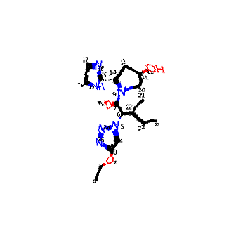 CCOc1cn([C@H](C(=O)N2C[C@H](O)C[C@H]2c2ncc[nH]2)[C@@H](C)CC)nn1